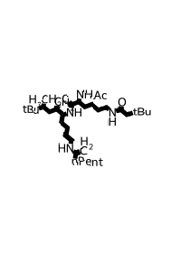 C=C(CCCCC)NCCCCC(NC(=C)C(CCCCNC(=O)CC(C)(C)C)NC(C)=O)C(=C)CC(C)C(C)(C)C